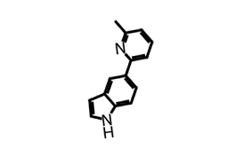 Cc1cccc(-c2ccc3[nH]ccc3c2)n1